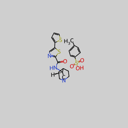 Cc1ccc(S(=O)(=O)O)cc1.O=C(N[C@H]1CN2CCC1CC2)c1ncc(-c2cccs2)s1